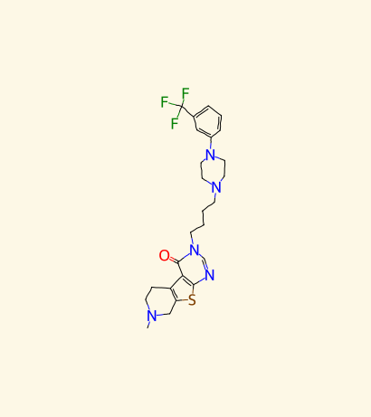 CN1CCc2c(sc3ncn(CCCCN4CCN(c5cccc(C(F)(F)F)c5)CC4)c(=O)c23)C1